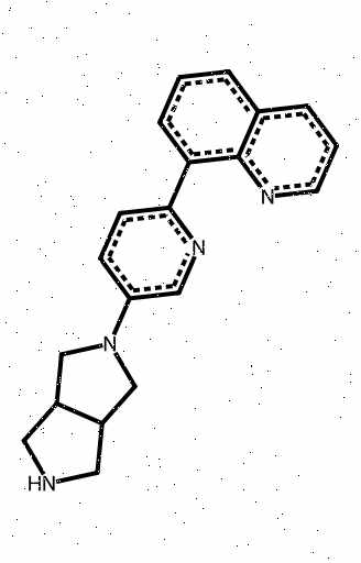 c1cnc2c(-c3ccc(N4CC5CNCC5C4)cn3)cccc2c1